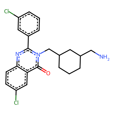 NCC1CCCC(Cn2c(-c3cccc(Cl)c3)nc3ccc(Cl)cc3c2=O)C1